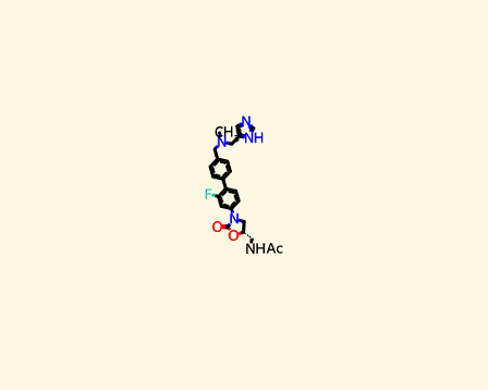 CC(=O)NC[C@H]1CN(c2ccc(-c3ccc(CN(C)Cc4cnc[nH]4)cc3)c(F)c2)C(=O)O1